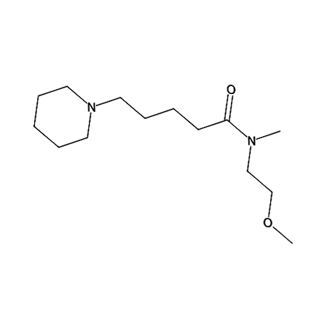 COCCN(C)C(=O)CCCCN1CCCCC1